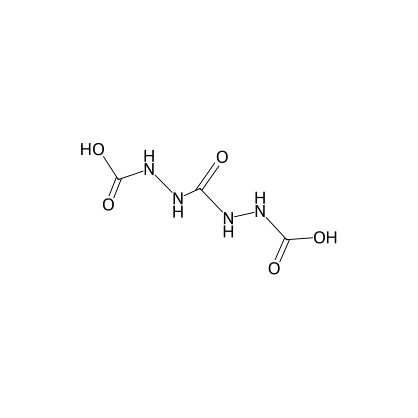 O=C(O)NNC(=O)NNC(=O)O